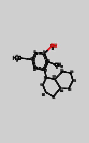 Cc1cc(O)c(C)c(C2CCCC3CCCCC32)c1